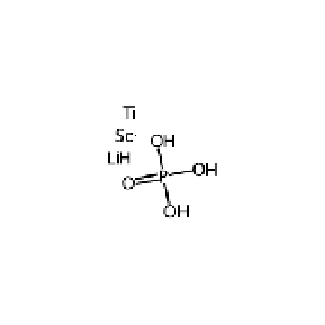 O=P(O)(O)O.[LiH].[Sc].[Ti]